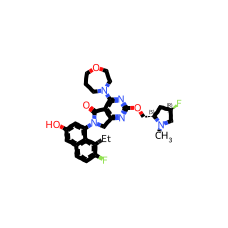 CCc1c(F)ccc2cc(O)cc(N3Cc4nc(OC[C@@H]5C[C@@H](F)CN5C)nc(N5CCCOCC5)c4C3=O)c12